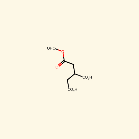 O=COC(=O)CC(CC(=O)O)C(=O)O